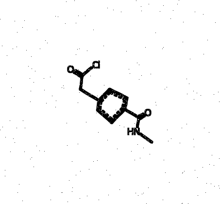 CNC(=O)c1ccc(CC(=O)Cl)cc1